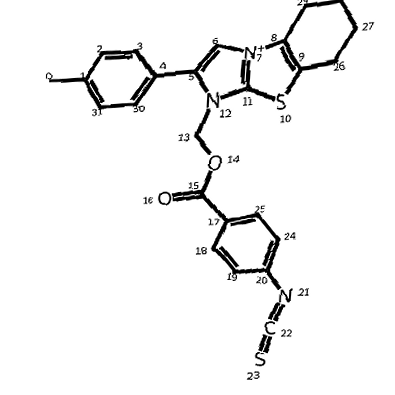 Cc1ccc(-c2c[n+]3c4c(sc3n2COC(=O)c2ccc(N=C=S)cc2)CCCC4)cc1